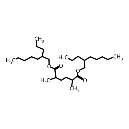 CCCCCC(CCC)COC(=O)C(C)CCC(C)C(=O)OCC(CCC)CCCCC